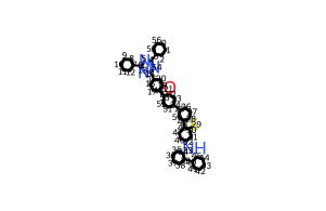 c1ccc(-c2nc(-c3ccccc3)nc(-c3ccc4c(c3)oc3cc(-c5ccc6sc7cc(Nc8ccccc8-c8ccccc8)ccc7c6c5)ccc34)n2)cc1